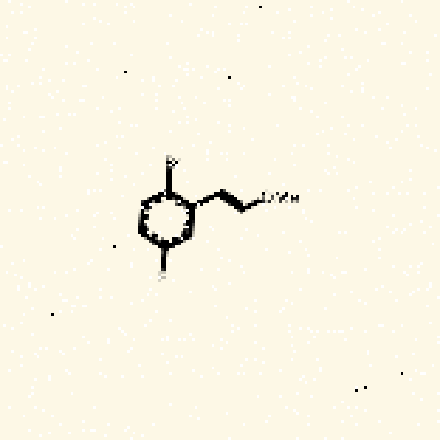 COC=Cc1cc(F)ccc1Br